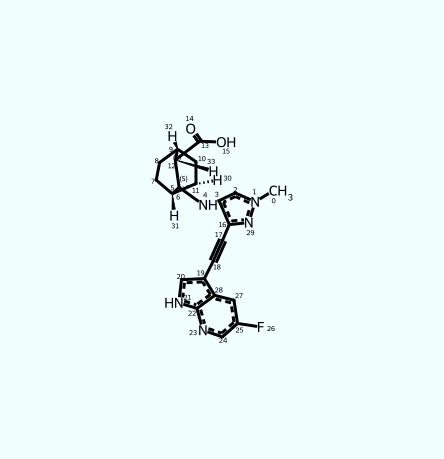 Cn1cc(N[C@H]2[C@H]3CC[C@H](CC3)[C@@H]2C(=O)O)c(C#Cc2c[nH]c3ncc(F)cc23)n1